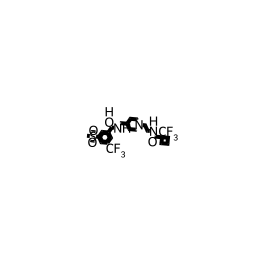 CS(=O)(=O)c1cc(C(O)NCC2CCN(CCNC(=O)C3(C(F)(F)F)CCC3)CC2)cc(C(F)(F)F)c1